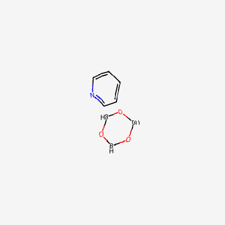 B1OBOBO1.c1ccncc1